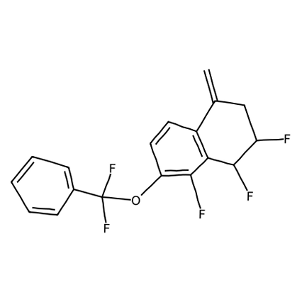 C=C1CC(F)C(F)c2c1ccc(OC(F)(F)c1ccccc1)c2F